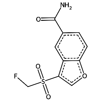 NC(=O)c1ccc2occ(S(=O)(=O)CF)c2c1